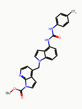 CC(C)(C)OC(=O)n1ccc2c(Cn3ccc4c(NC(=O)Nc5ccc(C(F)(F)F)cc5)cccc43)ccnc21